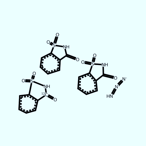 O=C1NS(=O)(=O)c2ccccc21.O=C1NS(=O)(=O)c2ccccc21.O=[12C]1NS(=O)(=O)c2ccccc21.[N-]=[N+]=N